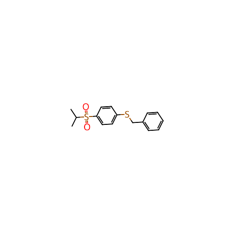 CC(C)S(=O)(=O)c1ccc(SCc2ccccc2)cc1